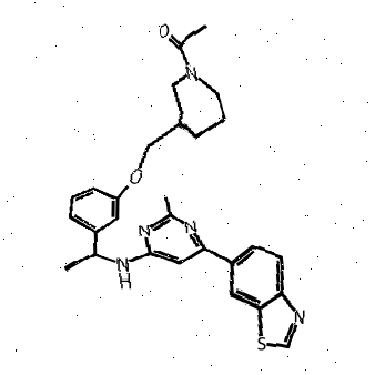 CC(=O)N1CCCC(COc2cccc(C(C)Nc3cc(-c4ccc5ncsc5c4)nc(C)n3)c2)C1